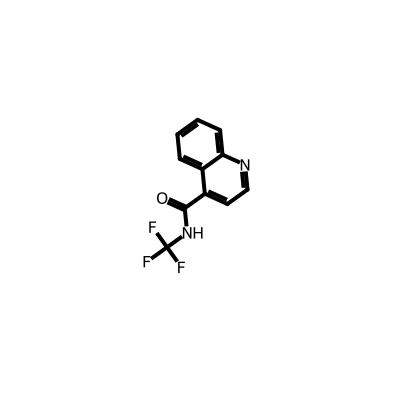 O=C(NC(F)(F)F)c1ccnc2ccccc12